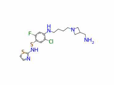 NCC1CN(CCCCNc2cc(F)c(SNc3nccs3)cc2Cl)C1